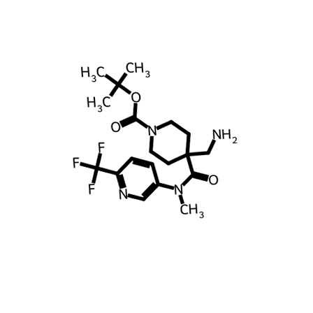 CN(C(=O)C1(CN)CCN(C(=O)OC(C)(C)C)CC1)c1ccc(C(F)(F)F)nc1